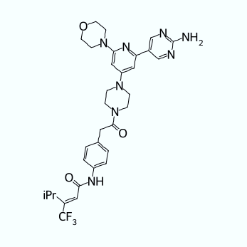 CC(C)/C(=C\C(=O)Nc1ccc(CC(=O)N2CCN(c3cc(-c4cnc(N)nc4)nc(N4CCOCC4)c3)CC2)cc1)C(F)(F)F